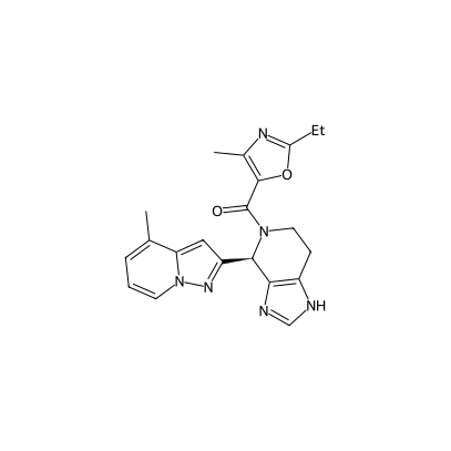 CCc1nc(C)c(C(=O)N2CCc3[nH]cnc3[C@H]2c2cc3c(C)cccn3n2)o1